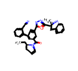 C=CC1CCCN1C(=O)c1cc(-c2nnc([C@](C)(N)Cc3ccccc3)o2)cc(-c2ccccc2C#N)c1